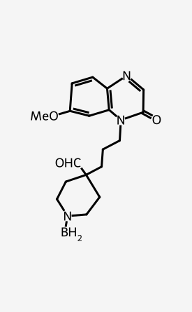 BN1CCC(C=O)(CCCn2c(=O)cnc3ccc(OC)cc32)CC1